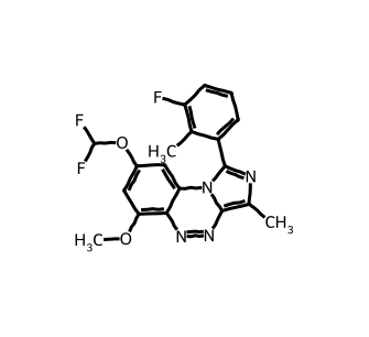 COc1cc(OC(F)F)cc2c1nnc1c(C)nc(-c3cccc(F)c3C)n12